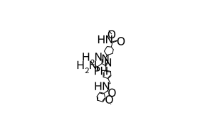 CONC(=C=O)C1CCC(n2nc(-c3ccc(CNC(=O)c4ccccc4OC)cc3)c(C(N)=P)c2N)CC1